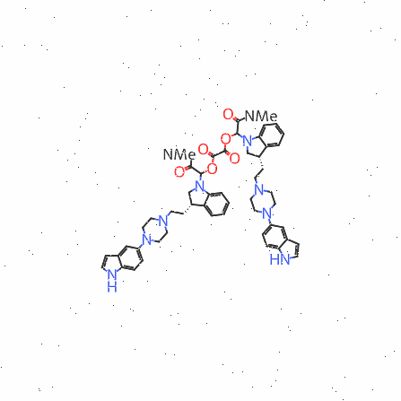 CNC(=O)C(OC(=O)C(=O)OC(C(=O)NC)N1C[C@@H](CCN2CCN(c3ccc4[nH]ccc4c3)CC2)c2ccccc21)N1C[C@@H](CCN2CCN(c3ccc4[nH]ccc4c3)CC2)c2ccccc21